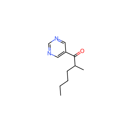 CCCCC(C)C(=O)c1cncnc1